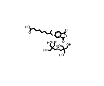 CC(C)CCCCCCC(=O)O.O=C1OC(=O)c2ccccc21.OCC(CO)(CO)COCC(CO)(CO)CO